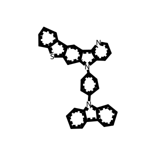 c1ccc2c(c1)sc1cc3c(cc12)c1ncccc1n3-c1ccc(-n2c3ccccc3c3ccccc32)cc1